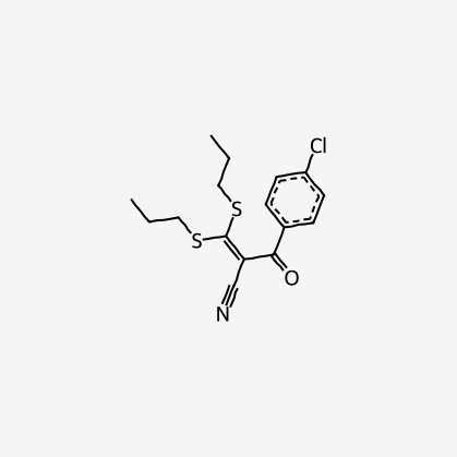 CCCSC(SCCC)=C(C#N)C(=O)c1ccc(Cl)cc1